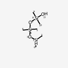 C[SiH](C)O[Si](C)(C)O[Si](C)(C)O